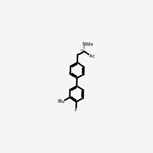 CCC(C)c1cc(-c2ccc(C[C@H](NC)C(C)=O)cc2)ccc1F